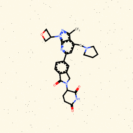 O=C1CCC(N2Cc3cc(-c4cc(CN5CCCC5)c5c(C(F)(F)F)nn(C6COC6)c5n4)ccc3C2=O)C(=O)N1